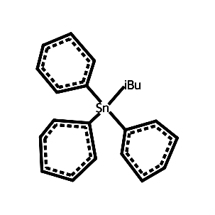 CC[CH](C)[Sn]([c]1ccccc1)([c]1ccccc1)[c]1ccccc1